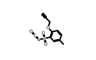 C#CCOc1ccc(C)cc1S(=O)(=O)N=C=O